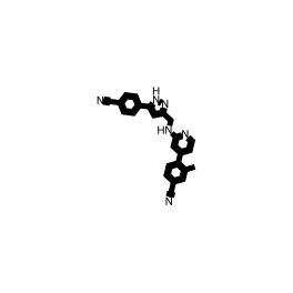 Cc1cc(C#N)ccc1-c1ccnc(NCc2cc(-c3ccc(C#N)cc3)[nH]n2)c1